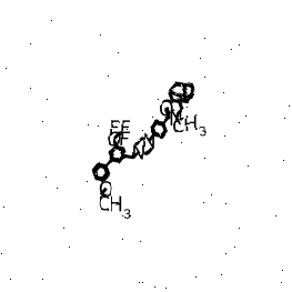 CCOc1cccc(-c2cc(CN3CCN(c4ccc(C(=O)N(C)CC56CC7CC(CC(C7)C5)C6)cc4)CC3)cc(OC(F)(F)F)c2)c1